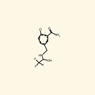 NC(=O)c1cc(CNC(O)C(F)(F)F)ccc1Cl